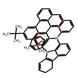 CC(C)(C)c1cc(-c2cccc3cccc(-c4ccccc4N(c4ccccc4)c4cccc5c6c(n(-c7ccccc7)c45)C=CCC6)c23)cc(C(C)(C)C)c1